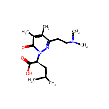 Cc1c(CCN(C)C)nn([C@@H](CC(C)C)C(=O)O)c(=O)c1C